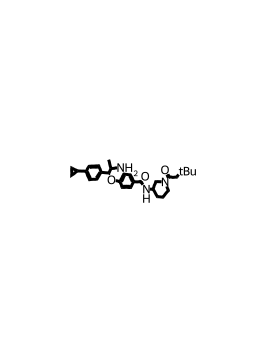 CC(N)[C@H](Oc1ccc(C(=O)NC2CCCN(C(=O)CC(C)(C)C)C2)cc1)c1ccc(C2CC2)cc1